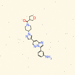 Nc1cccc(-c2cnc3cc(-c4cnn(C5CCN(C(=O)C6CCOC6)CC5)c4)cnn23)c1